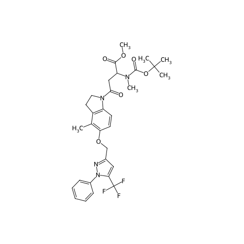 COC(=O)C(CC(=O)N1CCc2c1ccc(OCc1cc(C(F)(F)F)n(-c3ccccc3)n1)c2C)N(C)C(=O)OC(C)(C)C